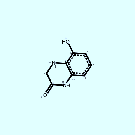 O=C1CNc2c(O)cccc2N1